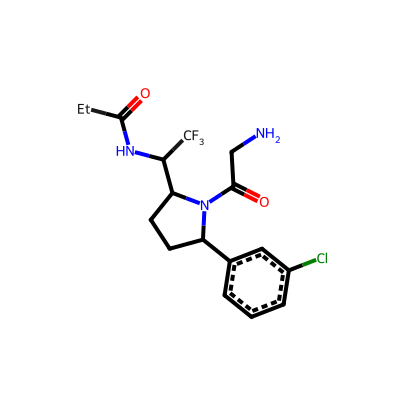 CCC(=O)NC(C1CCC(c2cccc(Cl)c2)N1C(=O)CN)C(F)(F)F